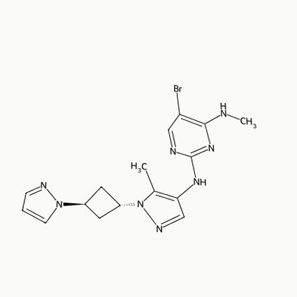 CNc1nc(Nc2cnn([C@H]3C[C@H](n4cccn4)C3)c2C)ncc1Br